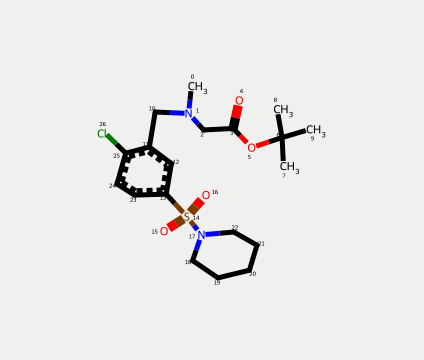 CN(CC(=O)OC(C)(C)C)Cc1cc(S(=O)(=O)N2CCCCC2)ccc1Cl